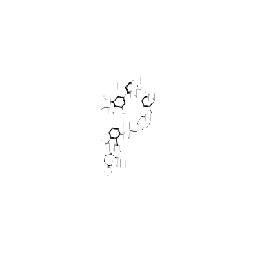 Cc1nc2c(F)cc(-c3nc(Nc4ccc(CN5CCN(CCNc6cccc7c6C(=O)N(C6CCC(=O)NC6=O)C7=O)CC5)cn4)ncc3F)cc2n1C(C)C